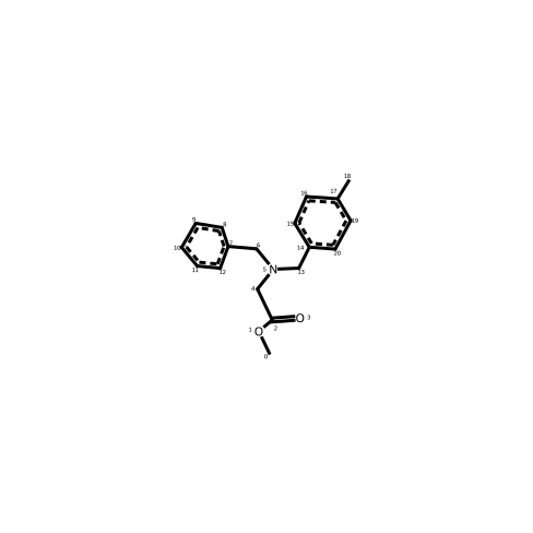 COC(=O)CN(Cc1ccccc1)Cc1ccc(C)cc1